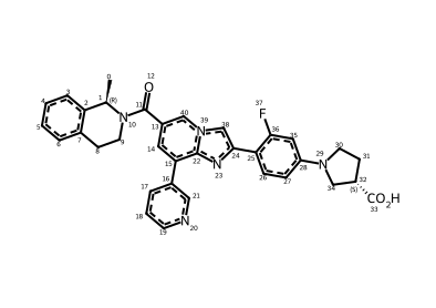 C[C@@H]1c2ccccc2CCN1C(=O)c1cc(-c2cccnc2)c2nc(-c3ccc(N4CC[C@H](C(=O)O)C4)cc3F)cn2c1